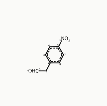 O=[C]Cc1ccc([N+](=O)[O-])cc1